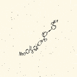 CCOc1cccc(C#Cc2cncc(C(=O)N3CCN(c4ccc(C(=O)Nc5ccc(OC)cc5)nn4)CC3)c2)c1